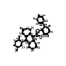 Cc1ccc(C)c(-c2c3ccccc3c(B3Oc4cccc(-c5ccccc5)c4O3)c3ccccc23)c1